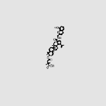 C=C(C)C1CCC2(C(=O)NCc3ccc4cccc(O)c4n3)CC[C@]3(C)C(CCC4C5(C)CCC(OC(=O)CC(C)(C)C(=O)O)C(C)(C)C5CCC43C)C12